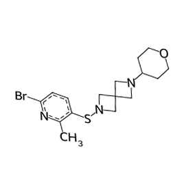 Cc1nc(Br)ccc1SN1CC2(C1)CN(C1CCOCC1)C2